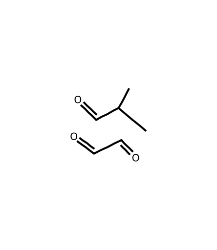 CC(C)C=O.O=CC=O